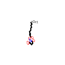 CCCCCCCCC=CCCCCCC#CC(=O)ON1C(=O)CCC1=O